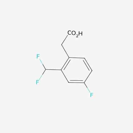 O=C(O)Cc1ccc(F)cc1C(F)F